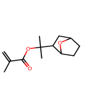 C=C(C)C(=O)OC(C)(C)C1CC2CCC1O2